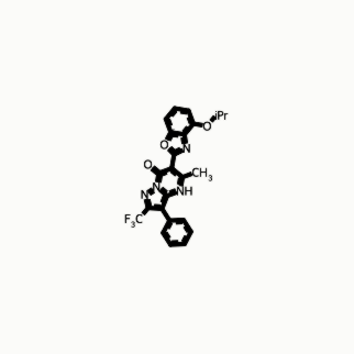 Cc1[nH]c2c(-c3ccccc3)c(C(F)(F)F)nn2c(=O)c1-c1nc2c(OC(C)C)cccc2o1